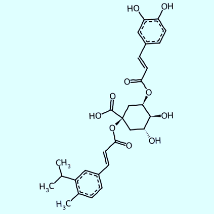 Cc1ccc(/C=C/C(=O)O[C@]2(C(=O)O)C[C@@H](O)[C@H](O)[C@H](OC(=O)/C=C/c3ccc(O)c(O)c3)C2)cc1C(C)C